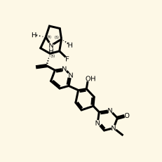 C=C(c1ccc(-c2ccc(-c3ncn(C)c(=O)n3)cc2O)nn1)[C@@H]1C[C@H]2CC[C@H](N2)C1F